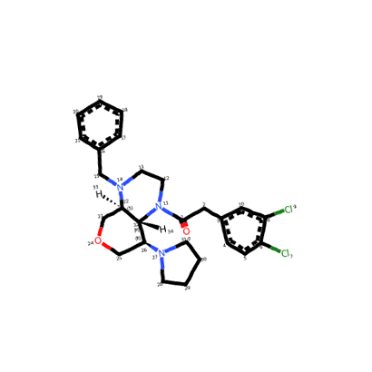 O=C(Cc1ccc(Cl)c(Cl)c1)N1CCN(Cc2ccccc2)[C@@H]2COC[C@H](N3CCCC3)[C@H]21